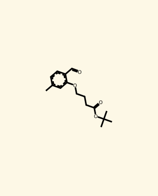 Cc1ccc(C=O)c(OCCCC(=O)OC(C)(C)C)c1